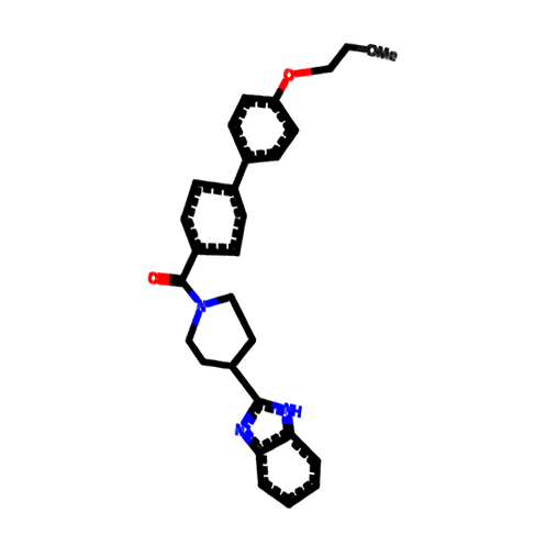 COCCOc1ccc(-c2ccc(C(=O)N3CCC(c4nc5ccccc5[nH]4)CC3)cc2)cc1